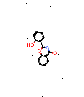 O=c1nc(-c2ccc#cc2O)oc2ccccc12